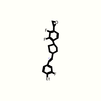 CCc1ccc(/C=C/C2CCC(c3ccc(C4CO4)c(F)c3F)CC2)cc1F